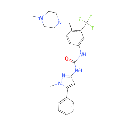 CN1CCN(Cc2ccc(NC(=O)Nc3cc(-c4ccccc4)n(C)n3)cc2C(F)(F)F)CC1